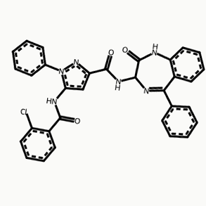 O=C(NC1N=C(c2ccccc2)c2ccccc2NC1=O)c1cc(NC(=O)c2ccccc2Cl)n(-c2ccccc2)n1